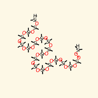 C[SiH](C)OO[Si](C)(C)O[Si](C)(C)O[Si](C)(C)O[Si](C)(C)O[Si](C)(C)O[Si](C)(C)O[Si](C)(C)O[Si](C)(C)O[Si](C)(C)O[Si](C)(C)O[Si](C)(C)O[Si](C)(C)O[Si](C)(C)O[Si](C)(C)O[Si](C)(C)O[Si](C)(C)O[Si](C)(C)O[Si](C)(C)O[SiH](C)C